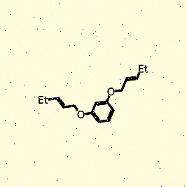 CC/C=C/COc1cccc(OC/C=C/CC)c1